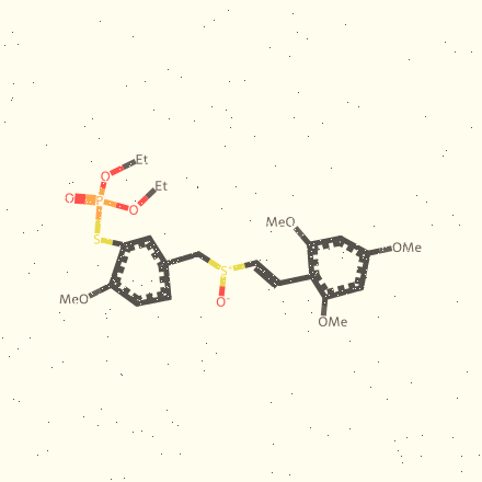 CCOP(=O)(OCC)Sc1cc(C[S+]([O-])/C=C/c2c(OC)cc(OC)cc2OC)ccc1OC